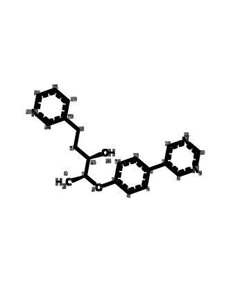 C[C@H](Oc1ccc(-c2cncnc2)cc1)[C@H](O)CCc1cccnc1